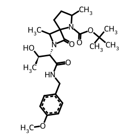 COc1ccc(CNC(=O)[C@H]([C@@H](C)O)N2C(=O)C3(CCC(C)N3C(=O)OC(C)(C)C)C2C)cc1